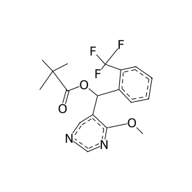 COc1ncncc1C(OC(=O)C(C)(C)C)c1ccccc1C(F)(F)F